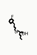 CC/C=C/C(=C\O)CN(C)C/C=C/Cc1cccc(F)c1